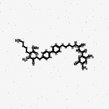 COC(=O)[C@H](CCCCN)N(C)C(=O)CCc1ccc(-c2ccc(CCCCNC(=N)NC(=O)c3nc(Cl)c(N)nc3N)cc2)cc1